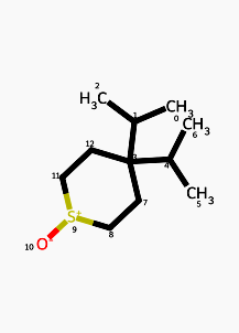 CC(C)C1(C(C)C)CC[S+]([O-])CC1